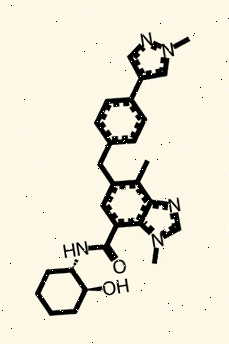 Cc1c(Cc2ccc(-c3cnn(C)c3)cc2)cc(C(=O)N[C@H]2CCCC[C@@H]2O)c2c1ncn2C